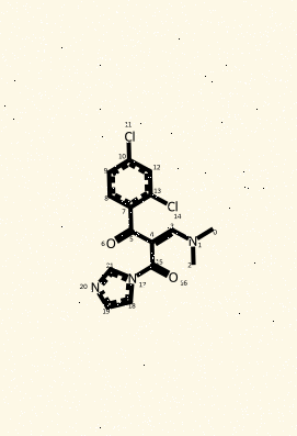 CN(C)C=C(C(=O)c1ccc(Cl)cc1Cl)C(=O)n1ccnc1